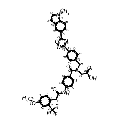 COc1ccc(CC(=O)Nc2ccc(C(=O)N(CC(=O)O)Cc3ccc(-c4noc(-c5ccc6c(ccn6C)c5)n4)cc3)cc2)c(C(F)(F)F)c1